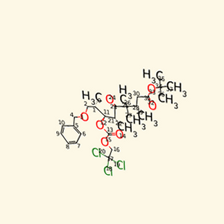 C[C@@H](COCc1ccccc1)[C@H](OC(=O)OCC(Cl)(Cl)Cl)[C@@H](C)C(=O)C(C)(C)[C@@H](C)CC(=O)OC(C)(C)C